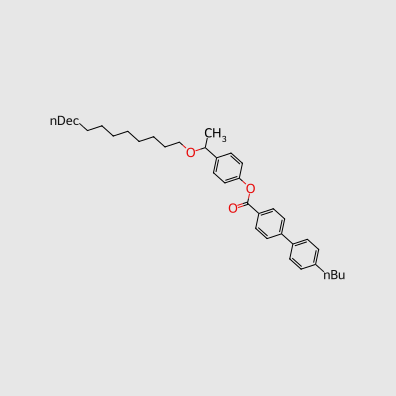 CCCCCCCCCCCCCCCCCCOC(C)c1ccc(OC(=O)c2ccc(-c3ccc(CCCC)cc3)cc2)cc1